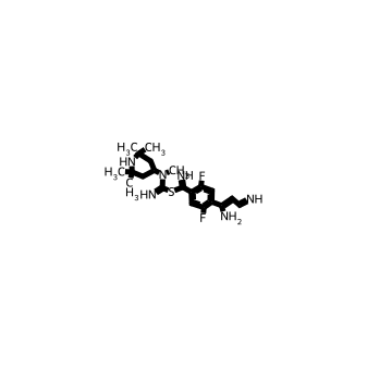 CN(C(=N)SC(=N)c1cc(F)c(/C(N)=C/C=N)cc1F)C1CC(C)(C)NC(C)(C)C1